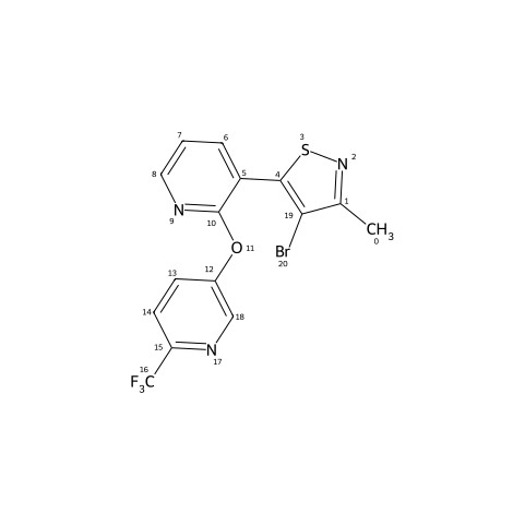 Cc1nsc(-c2cccnc2Oc2ccc(C(F)(F)F)nc2)c1Br